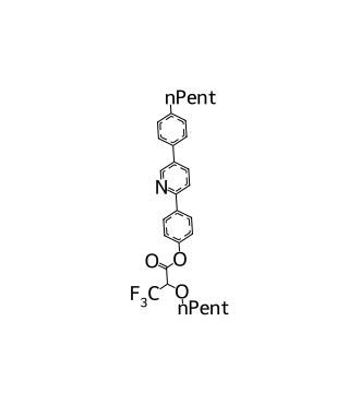 CCCCCOC(C(=O)Oc1ccc(-c2ccc(-c3ccc(CCCCC)cc3)cn2)cc1)C(F)(F)F